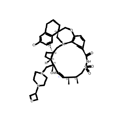 CO[C@]1(CN2CCN(C3COC3)CC2)/C=C/[C@H](C)[C@H](C)CS(=O)(=O)NC(=O)c2ccc3c(c2)N(C[C@@H]2CC[C@H]21)C[C@@]1(CCCc2cc(Cl)ccc21)CO3